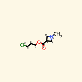 CN1CC(C(=O)OCCCCl)C1